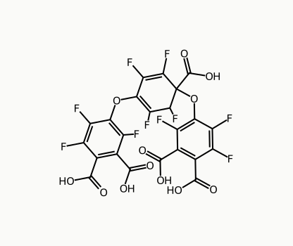 O=C(O)c1c(F)c(F)c(OC2=C(F)C(F)C(Oc3c(F)c(F)c(C(=O)O)c(C(=O)O)c3F)(C(=O)O)C(F)=C2F)c(F)c1C(=O)O